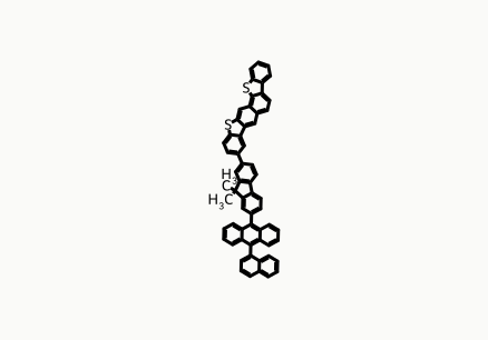 CC1(C)c2cc(-c3ccc4sc5cc6c(ccc7c8ccccc8sc67)cc5c4c3)ccc2-c2ccc(-c3c4ccccc4c(-c4cccc5ccccc45)c4ccccc34)cc21